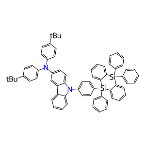 CC(C)(C)c1ccc(N(c2ccc(C(C)(C)C)cc2)c2ccc3c(c2)c2ccccc2n3-c2ccc([Si]3(c4ccccc4)c4ccccc4[Si](c4ccccc4)(c4ccccc4)c4ccccc43)cc2)cc1